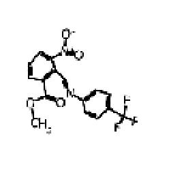 COC(=O)c1cccc([N+](=O)[O-])c1C=Nc1ccc(C(F)(F)F)cc1